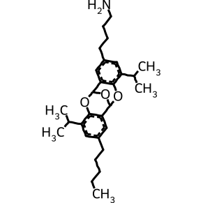 CCCCCc1cc(C(C)C)c2c(c1)C1Oc3c(C(C)C)cc(CCCCN)cc3C(O2)O1